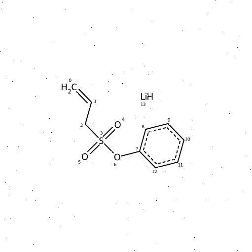 C=CCS(=O)(=O)Oc1ccccc1.[LiH]